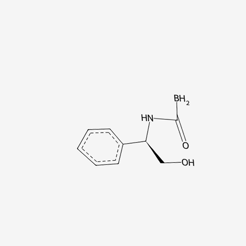 BC(=O)N[C@@H](CO)c1ccccc1